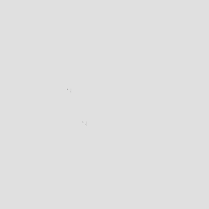 Cc1ncc(OC(C)C)cn1